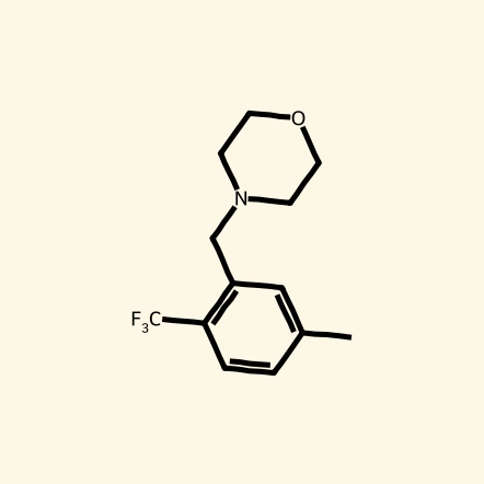 Cc1ccc(C(F)(F)F)c(CN2CCOCC2)c1